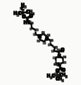 CC(C)(C)OC(=O)NCCCCN1CCN(CCCCC(=O)N2CCN(C(=O)OC(C)(C)C)CC2)CC1